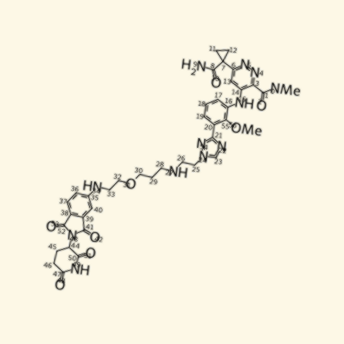 CNC(=O)c1nnc(C2(C(N)=O)CC2)cc1Nc1cccc(-c2ncn(CCNCCCOCCNc3ccc4c(c3)C(=O)N(C3CCC(=O)NC3=O)C4=O)n2)c1OC